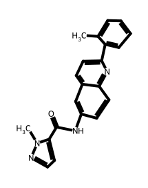 Cc1ccccc1-c1ccc2cc(NC(=O)c3ccnn3C)ccc2n1